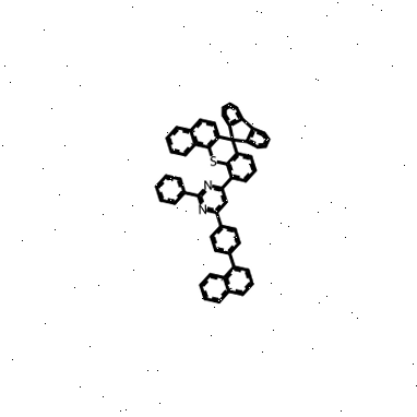 c1ccc(-c2nc(-c3ccc(-c4cccc5ccccc45)cc3)cc(-c3cccc4c3Sc3c(ccc5ccccc35)C43c4ccccc4-c4ccccc43)n2)cc1